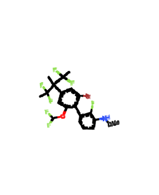 CONc1cccc(-c2c(Br)cc(C(C)(C(C)(F)F)C(C)(F)F)cc2OC(F)F)c1F